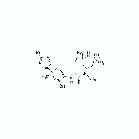 CN(c1nnc(C2=CCC(C)(c3ccc(O)nc3)C=C2O)s1)C1CC(C)(C)NC(C)(C)C1